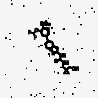 COc1ncc(-c2ccn3nc(NC(=O)NCC4(CO)CC4)cc3c2)cc1OC(F)F